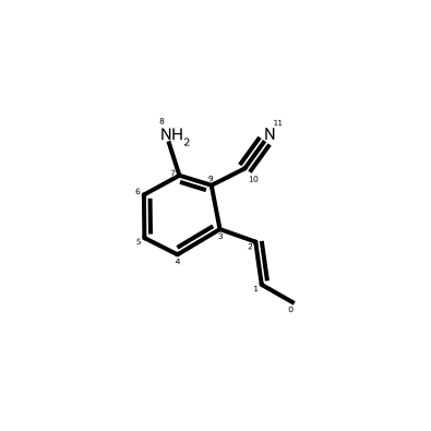 CC=Cc1cccc(N)c1C#N